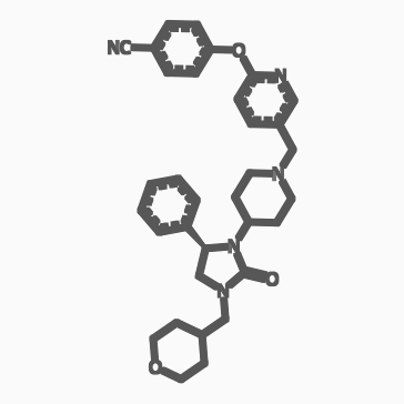 N#Cc1ccc(Oc2ccc(CN3CCC(N4C(=O)N(CC5CCOCC5)C[C@H]4c4ccccc4)CC3)cn2)cc1